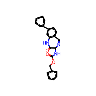 O=C(NC1N=Cc2ccc(-c3ccccc3)cc2NC1=O)OCc1ccccc1